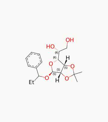 CCC(O[C@H]1O[C@H]([C@H](O)CO)[C@@H]2OC(C)(C)O[C@H]12)c1ccccc1